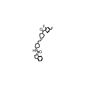 O=C(c1ccc(F)cc1F)C1CCN(CCC2CCC(NC(=O)N3CCc4ccccc43)CC2)CC1